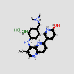 CC(=O)c1cnc2ccc(-c3ccc(O)nc3)nc2c1NC1CCC(CN(C)C)CC1.Cl.Cl